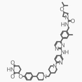 Cc1cc(-c2ccnc(Nc3ccc(N4CCC(CN5CCC(c6ccc(OC7CCC(=O)NC7=O)cc6)CC5)CC4)nc3)n2)ccc1CNC(=O)N1CC(OC(C)C)C1